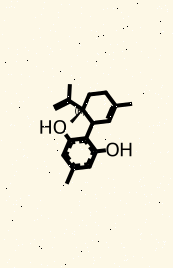 C=C(C)[C@]1(C)CCC(C)=CC1c1c(O)cc(C)cc1O